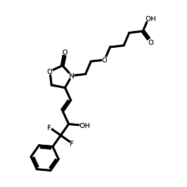 O=C(O)CCCOCCN1C(=O)OCC1C=CC(O)C(F)(F)c1ccccc1